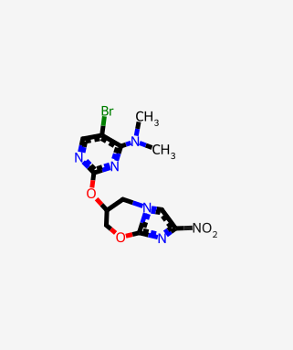 CN(C)c1nc(OC2COc3nc([N+](=O)[O-])cn3C2)ncc1Br